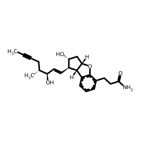 CC#CC[C@@H](C)[C@H](O)/C=C/[C@@H]1[C@H]2c3cccc(CCC(N)=O)c3O[C@H]2C[C@H]1O